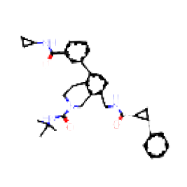 CC(C)(C)NC(=O)N1CCc2c(-c3cccc(C(=O)NC4CC4)c3)ccc(CNC(=O)[C@@H]3C[C@H]3c3ccccc3)c2C1